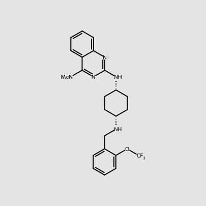 CNc1nc(N[C@H]2CC[C@@H](NCc3ccccc3OC(F)(F)F)CC2)nc2ccccc12